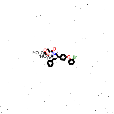 C[C@H]([C@H](CCc1ccccc1)c1ccc(Oc2ccccc2Br)cc1)N(CC(=O)O)C(=O)[C@@H]1COC(C(=O)O)(C(=O)O)O1